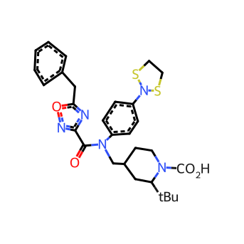 CC(C)(C)C1CC(CN(C(=O)c2noc(Cc3ccccc3)n2)c2ccc(N3SCCS3)cc2)CCN1C(=O)O